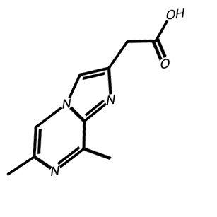 Cc1cn2cc(CC(=O)O)nc2c(C)n1